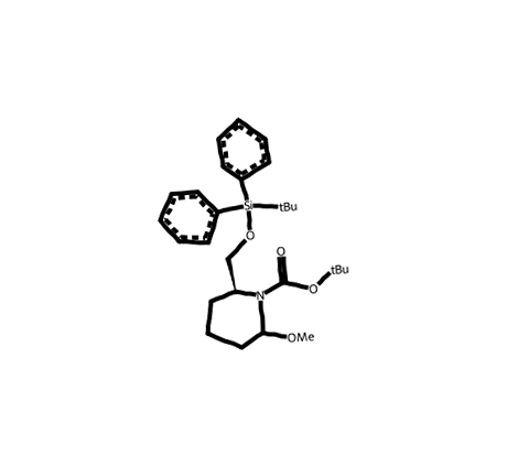 COC1CCC[C@@H](CO[Si](c2ccccc2)(c2ccccc2)C(C)(C)C)N1C(=O)OC(C)(C)C